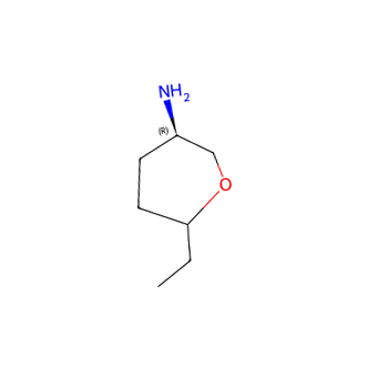 CCC1CC[C@@H](N)CO1